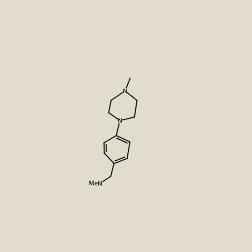 CNCc1ccc(N2CCN(C)CC2)cc1